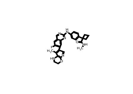 CNC(=O)C1(c2ccc(Nc3ncc4cc(F)c(-c5cnc6c(c5C)NCCO6)cc4n3)cc2)CCC1